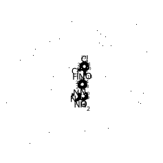 Nc1ncnc2c1c(=O)ccn2-c1ccc(NC(=O)c2ccc(Cl)cc2Cl)cc1